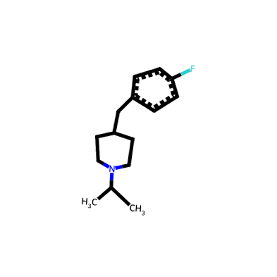 CC(C)N1CCC(Cc2ccc(F)cc2)CC1